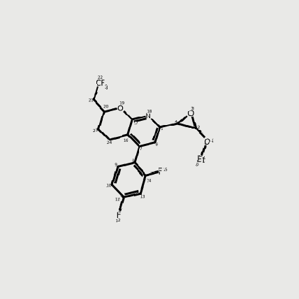 CCOC1OC1c1cc(-c2ccc(F)cc2F)c2c(n1)OC(CC(F)(F)F)CC2